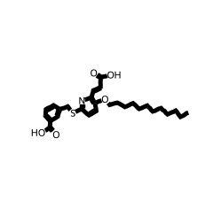 CCCCCCCCCCCCOc1ccc(SCc2cccc(C(=O)O)c2)nc1C=CC(=O)O